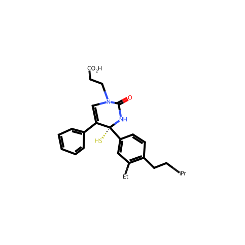 CCc1cc([C@]2(S)NC(=O)N(CCC(=O)O)C=C2c2ccccc2)ccc1CCC(C)C